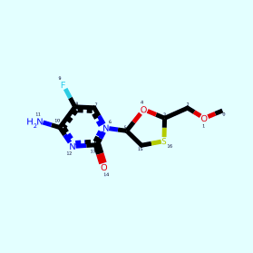 COCC1OC(n2cc(F)c(N)nc2=O)CS1